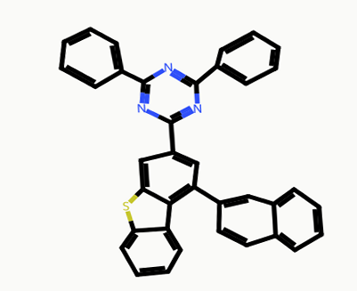 c1ccc(-c2nc(-c3ccccc3)nc(-c3cc(-c4ccc5ccccc5c4)c4c(c3)sc3ccccc34)n2)cc1